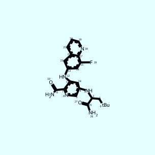 CC(C)(C)CC(Nc1cnc(C(N)=O)c(Nc2cc(F)c3ncccc3c2)c1)C(N)=O